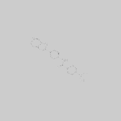 CN(C)c1ccc(C(=O)Nc2ccc(-c3nc4cnccc4o3)cc2)cc1